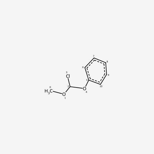 COC(Cl)Oc1ccccc1